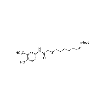 CCCCCCC/C=C\CCCCCSCC(=O)Nc1ccc(O)c(C(=O)O)c1